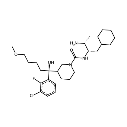 COCCCC[C@@](O)(c1cccc(Cl)c1F)C1CCCN(C(=O)N[C@@H](CC2CCCCC2)[C@@H](C)N)C1